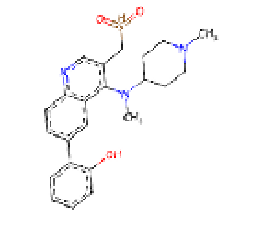 CN1CCC(N(C)c2c(C[SH](=O)=O)cnc3ccc(-c4ccccc4O)cc23)CC1